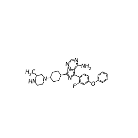 C[C@H]1CN([C@H]2CC[C@H](c3nc(-c4ccc(Oc5ccccc5)cc4F)c4c(N)ncnn43)CC2)CCN1